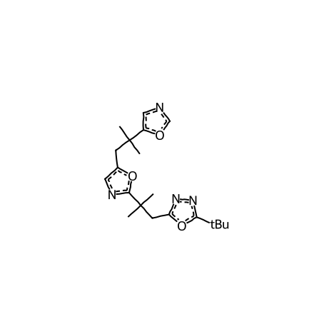 CC(C)(C)c1nnc(CC(C)(C)c2ncc(CC(C)(C)c3cnco3)o2)o1